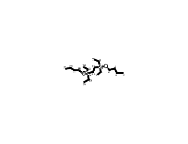 CCCCO[Si](CC)(CC)CC[Si](CC)(CC)OCCCC